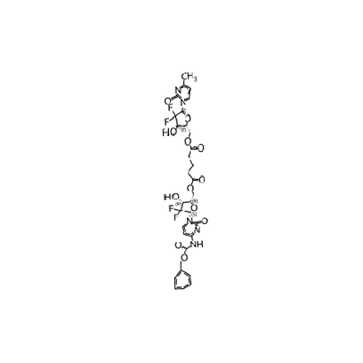 Cc1ccn([C@@H]2O[C@H](COC(=O)CCCC(=O)OC[C@H]3O[C@H](n4ccc(NC(=O)OCc5ccccc5)nc4=O)C(F)(F)[C@@H]3O)[C@@H](O)C2(F)F)c(=O)n1